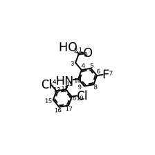 O=C(O)Cc1cc(F)ccc1Nc1c(Cl)cccc1Cl